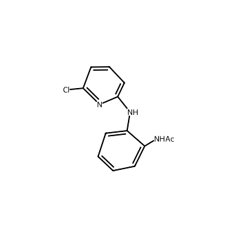 CC(=O)Nc1ccccc1Nc1cccc(Cl)n1